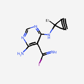 CCC1(Nc2ncnc(N)c2C(=N)I)C#C1